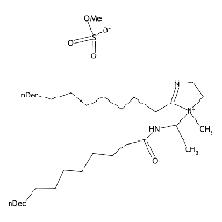 CCCCCCCCCCCCCCCCCC(=O)NC(C)[N+]1(C)CCN=C1CCCCCCCCCCCCCCCCC.COS(=O)(=O)[O-]